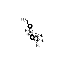 CCCc1cccc(NC(=S)Nc2ccc3c(c2)C(C)(C)CC(C)(C)S3)c1